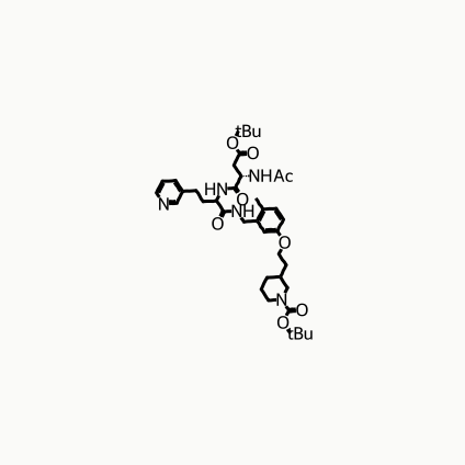 CC(=O)N[C@@H](CC(=O)OC(C)(C)C)C(=O)NC(CCc1cccnc1)C(=O)NCc1cc(OCCC2CCCN(C(=O)OC(C)(C)C)C2)ccc1C